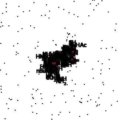 CCCC[C@H](NC(=O)[C@H](CCC(=O)O)NC(=O)[C@@H](CCCNC(=N)N)NC(=O)[C@@H]1CCCN1C(=O)[C@@H]1CCCN1C(=O)[C@H](CS)NC(=O)[C@H](Cc1c[nH]c2ccccc12)NC(=O)[C@H](Cc1c[nH]cn1)NC(=O)[C@@H](Cc1ccc(C)cc1)NC(=O)[C@H](Cc1c[nH]cn1)NC(=O)[C@@H]1CCCN1C(=O)[C@H](CS)NC(C)=O)C(=O)N[C@H](CCCNC(=N)N)C(=O)N[C@H](CCCNC(=N)N)C(N)=O